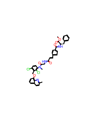 COC(=O)[C@@H](Cc1ccccc1)NC(=O)c1ccc(C=CC(=O)NCC(=O)N(C)c2ccc(Cl)c(COc3cccc4ccc(C)nc34)c2Cl)cc1